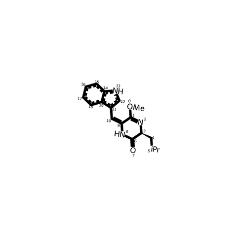 COC1=N[C@@H](CC(C)C)C(=O)NC1=Cc1c[nH]c2ccccc12